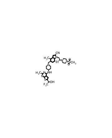 CC[C@@H](Cn1c(C#N)cc2c(C)c(CN3CCC(Nc4nc(C)nc5sc(C(O)C(F)(F)F)cc45)CC3)ccc21)N1CCN(S(C)(=O)=O)CC1